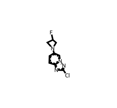 FC1CN(c2ccc3nc(Cl)nn3c2)C1